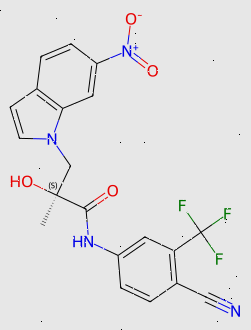 C[C@](O)(Cn1ccc2ccc([N+](=O)[O-])cc21)C(=O)Nc1ccc(C#N)c(C(F)(F)F)c1